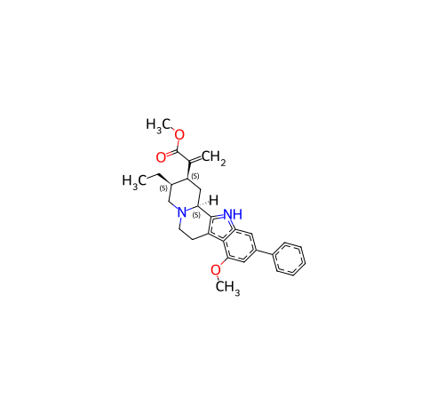 C=C(C(=O)OC)[C@H]1C[C@H]2c3[nH]c4cc(-c5ccccc5)cc(OC)c4c3CCN2C[C@H]1CC